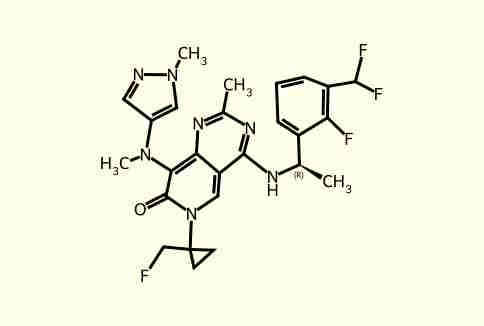 Cc1nc(N[C@H](C)c2cccc(C(F)F)c2F)c2cn(C3(CF)CC3)c(=O)c(N(C)c3cnn(C)c3)c2n1